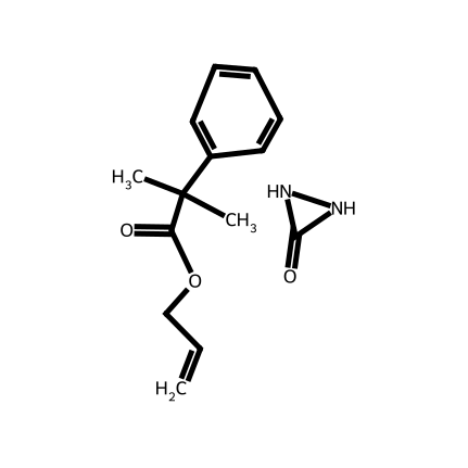 C=CCOC(=O)C(C)(C)c1ccccc1.O=C1NN1